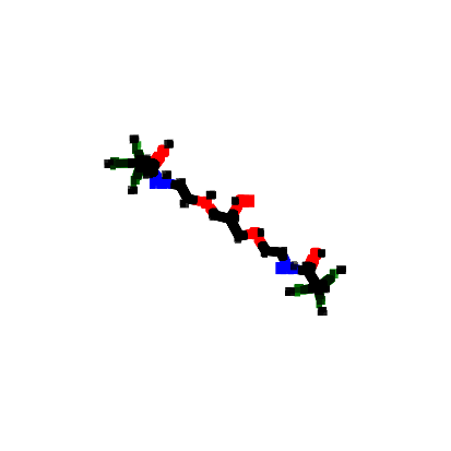 O=C(NCCOCC(O)COCCNC(=O)C(F)(F)F)C(F)(F)F